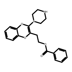 O=C(OCCC1=C(N2CCNCC2)Oc2ccccc2O1)c1ccccc1